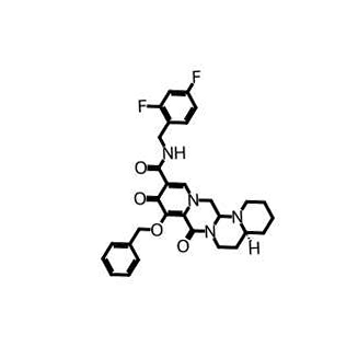 O=C(NCc1ccc(F)cc1F)c1cn2c(c(OCc3ccccc3)c1=O)C(=O)N1CC[C@@H]3CCCCN3C1C2